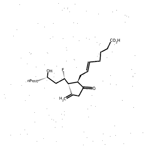 C=C1CC(=O)[C@H](CC=CCCCC(=O)O)[C@H]1[C@@H](F)C[C@@H](O)CCCCC